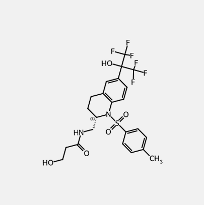 Cc1ccc(S(=O)(=O)N2c3ccc(C(O)(C(F)(F)F)C(F)(F)F)cc3CC[C@H]2CNC(=O)CCO)cc1